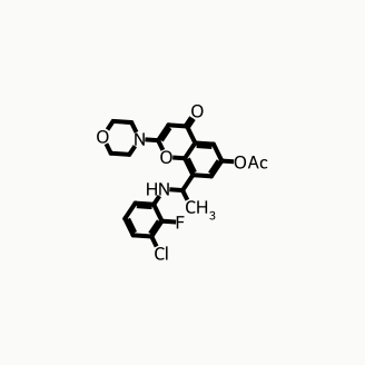 CC(=O)Oc1cc(C(C)Nc2cccc(Cl)c2F)c2oc(N3CCOCC3)cc(=O)c2c1